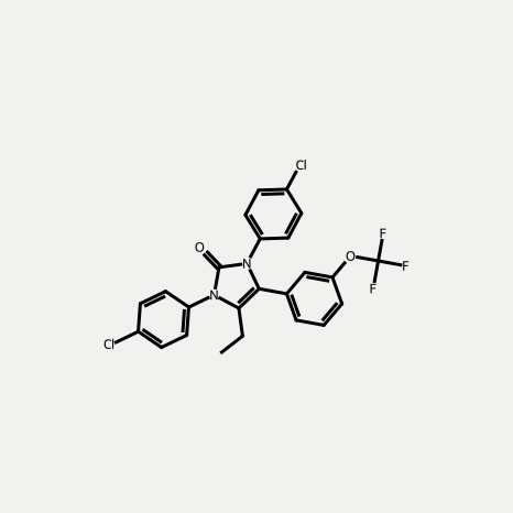 CCc1c(-c2cccc(OC(F)(F)F)c2)n(-c2ccc(Cl)cc2)c(=O)n1-c1ccc(Cl)cc1